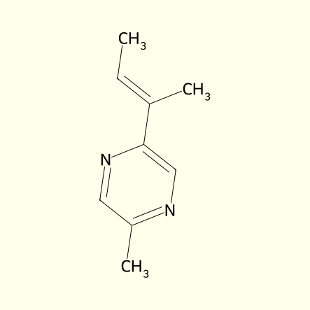 CC=C(C)c1cnc(C)cn1